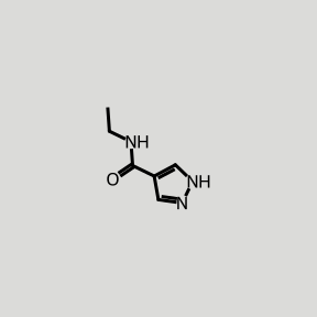 CCNC(=O)c1cn[nH]c1